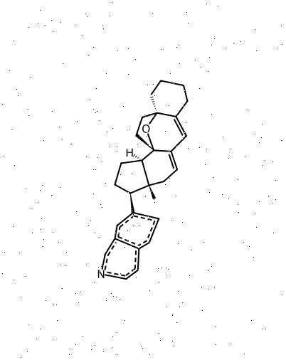 C[C@]12CC=C3C=C4CCCC[C@]45CC[C@]3(O5)[C@@H]1CC[C@@H]2c1ccc2ccncc2c1